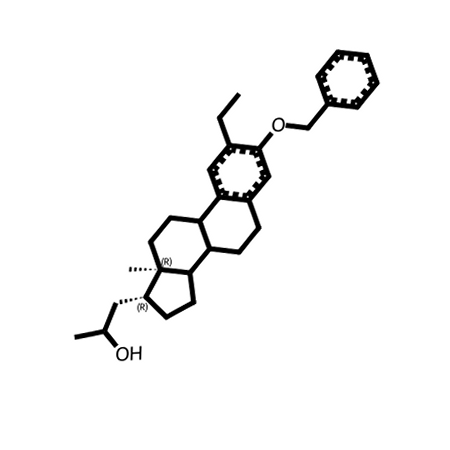 CCc1cc2c(cc1OCc1ccccc1)CCC1C2CC[C@@]2(C)C1CC[C@@H]2CC(C)O